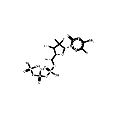 C[C@@H](OP(=O)(O)OP(=O)(O)OP(=O)(O)O)[C@H]1O[C@@H](n2nc(F)c(N)nc2=O)C(C)(F)C1O